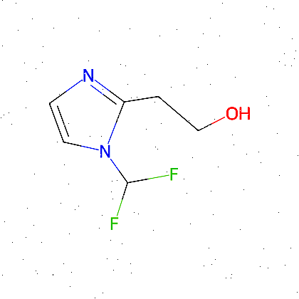 OCCc1nccn1C(F)F